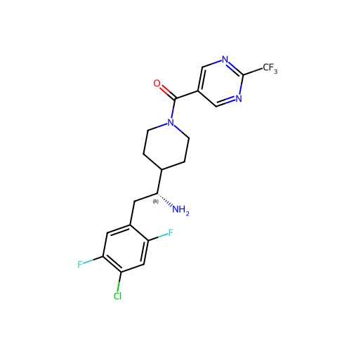 N[C@H](Cc1cc(F)c(Cl)cc1F)C1CCN(C(=O)c2cnc(C(F)(F)F)nc2)CC1